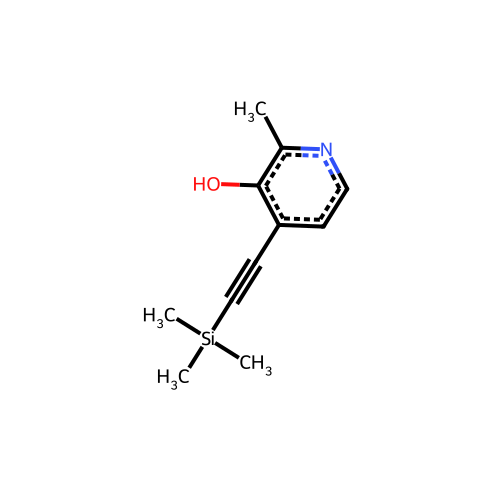 Cc1nccc(C#C[Si](C)(C)C)c1O